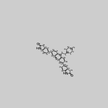 CN1CCN(CCN2c3ccc(-c4ccc5c(c4)CC(=O)N5)cc3Sc3cc(-c4ccc5c(c4)CC(=O)N5)ccc32)CC1